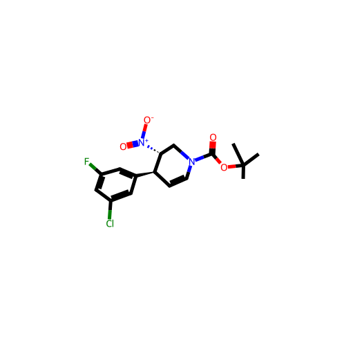 CC(C)(C)OC(=O)N1C=C[C@@H](c2cc(F)cc(Cl)c2)[C@H]([N+](=O)[O-])C1